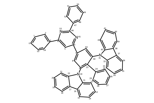 c1ccc(-c2cc(-c3cc(-n4c5ccccc5c5ccccc54)c(-c4ccccc4)c(-n4c5ccccc5c5ccccc54)c3)nc(-c3ccccc3)n2)cc1